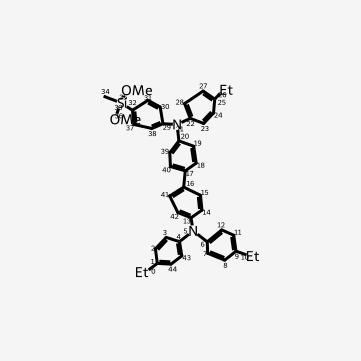 CCc1ccc(N(c2ccc(CC)cc2)c2ccc(-c3ccc(N(c4ccc(CC)cc4)c4ccc([Si](C)(OC)OC)cc4)cc3)cc2)cc1